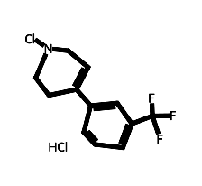 Cl.FC(F)(F)c1cccc(C2=CCN(Cl)CC2)c1